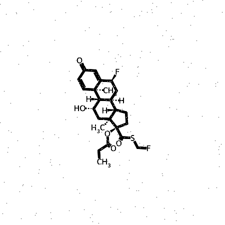 CCC(=O)O[C@]1(C(=O)SCF)CC[C@H]2[C@@H]3C[C@H](F)C4=CC(=O)C=C[C@]4(C)[C@H]3[C@@H](O)C[C@@]21C